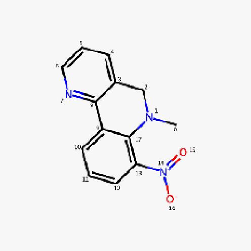 CN1Cc2cccnc2-c2cccc([N+](=O)[O-])c21